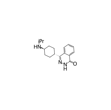 CC(C)N[C@H]1CC[C@H](c2n[nH]c(=O)c3ccccc32)CC1